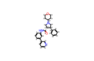 O=C(Nc1cccc(-c2cccnc2)c1)[C@@H]1CN(C2CCOCC2)C[C@H]1c1ccccc1